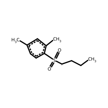 CCC[CH]S(=O)(=O)c1ccc(C)cc1C